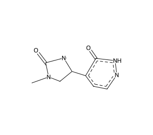 CN1CC(c2ccn[nH]c2=O)[N]C1=O